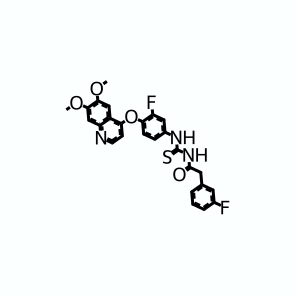 COc1cc2nccc(Oc3ccc(NC(=S)NC(=O)Cc4cccc(F)c4)cc3F)c2cc1OC